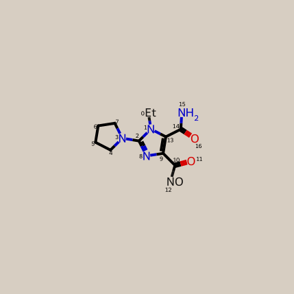 CCn1c(N2CCCC2)nc(C(=O)N=O)c1C(N)=O